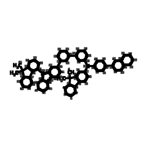 CC1(C)c2ccccc2-c2ccc(N(c3ccc(-c4ccc5ccccc5c4)cc3)c3cccc(-c4cccc(-c5ccc6c7ccccc7n(-c7cccc8c7-c7ccccc7C8(C)C)c6c5)c4)c3)cc21